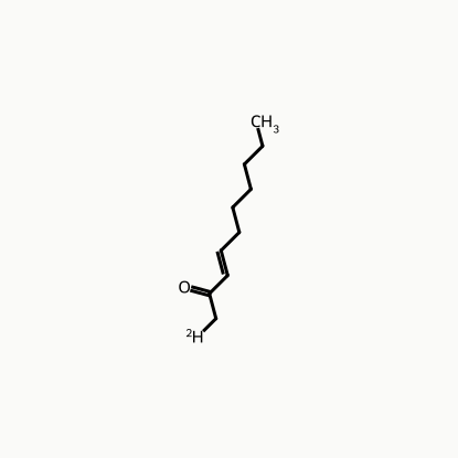 [2H]CC(=O)C=CCCCCCC